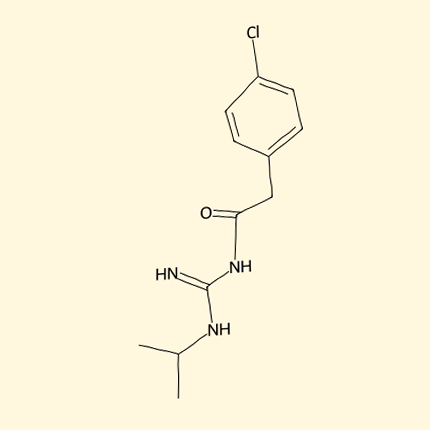 CC(C)NC(=N)NC(=O)Cc1ccc(Cl)cc1